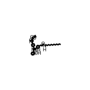 CCCCCCCCCCCCNC(=O)C=Cc1ccc(-c2[nH]c(-c3ccccc3O)nc2-c2ccc(C3=NOC(C(=O)OC(C)(C)C)C3)cc2)cc1